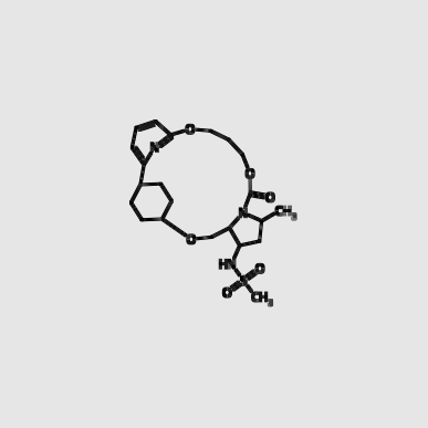 CC1CC(NS(C)(=O)=O)C2COC3CCC(CC3)c3cccc(n3)OCCCOC(=O)N12